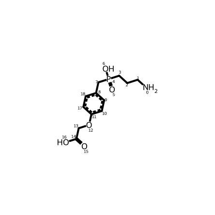 NCCCP(=O)(O)Cc1ccc(OCC(=O)O)cc1